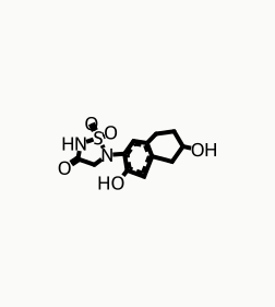 O=C1CN(c2cc3c(cc2O)CC(O)CC3)S(=O)(=O)N1